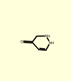 O=C1[CH]NNC=C1